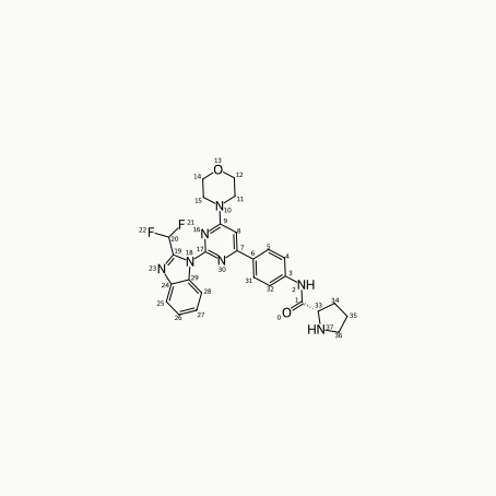 O=C(Nc1ccc(-c2cc(N3CCOCC3)nc(-n3c(C(F)F)nc4ccccc43)n2)cc1)[C@@H]1CCCN1